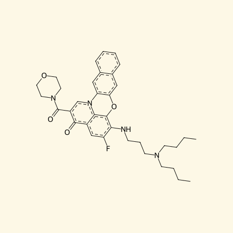 CCCCN(CCCC)CCCNc1c(F)cc2c(=O)c(C(=O)N3CCOCC3)cn3c2c1Oc1cc2ccccc2cc1-3